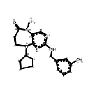 Cc1cccc(CNc2ncc3c(n2)N(C2CCCC2)CCC(=O)N3C)c1